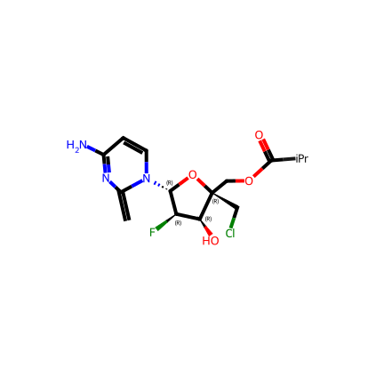 C=C1N=C(N)C=CN1[C@@H]1O[C@](CCl)(COC(=O)C(C)C)[C@@H](O)[C@H]1F